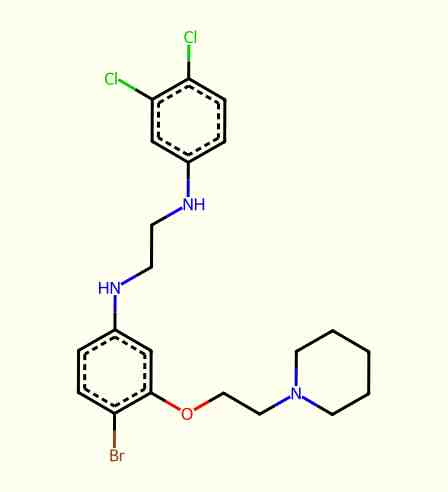 Clc1ccc(NCCNc2ccc(Br)c(OCCN3CCCCC3)c2)cc1Cl